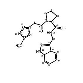 Cc1cc(CC(=O)N2CCC[C@H]2C(=O)NCC2=CNC3C=CC=CC23)on1